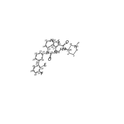 CN1CCC[C@@H](NC(=O)c2sc3nccc4c3c2NC(=O)N4c2cccc(-c3cccc(F)c3F)c2)C1